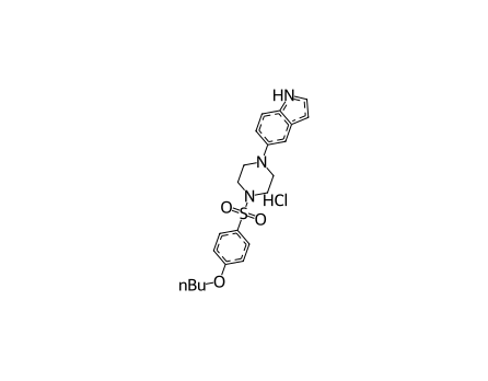 CCCCOc1ccc(S(=O)(=O)N2CCN(c3ccc4[nH]ccc4c3)CC2)cc1.Cl